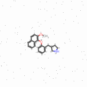 COc1ccc2ccccc2c1Oc1ccccc1CC1CCNC1